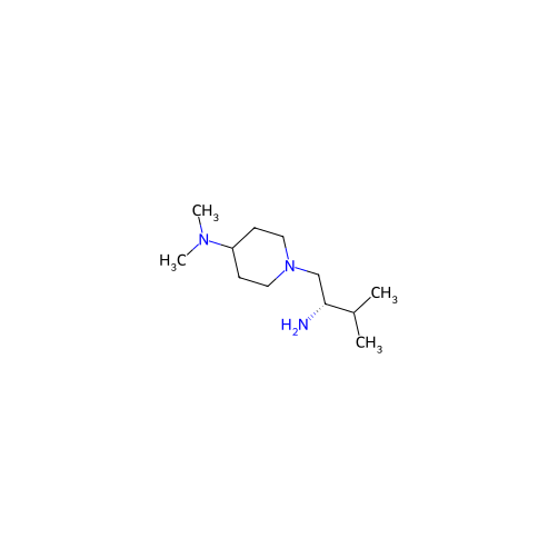 CC(C)[C@H](N)CN1CCC(N(C)C)CC1